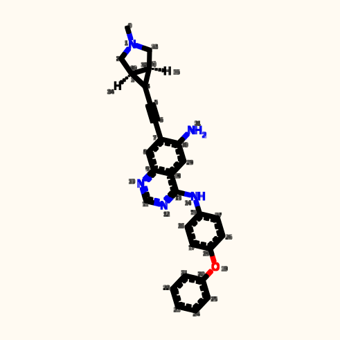 CN1C[C@@H]2C(C#Cc3cc4ncnc(Nc5ccc(Oc6ccccc6)cc5)c4cc3N)[C@@H]2C1